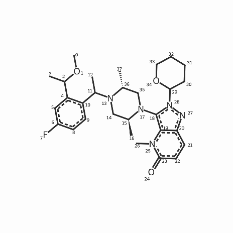 COC(C)c1cc(F)ccc1C(C)N1C[C@H](C)N(c2c3c(ccc(=O)n3C)nn2C2CCCCO2)C[C@H]1C